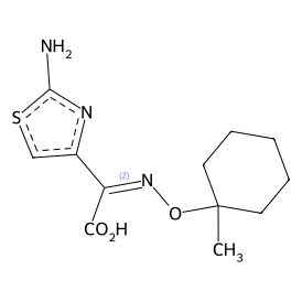 CC1(O/N=C(\C(=O)O)c2csc(N)n2)CCCCC1